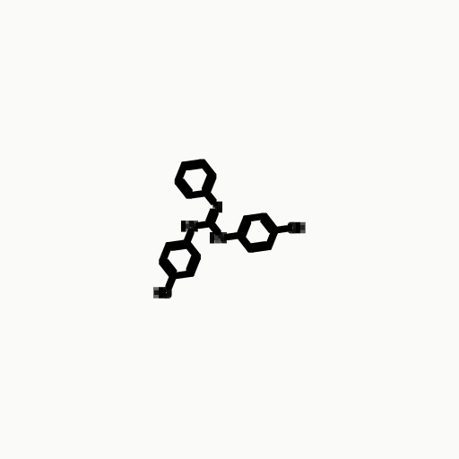 Oc1ccc(NC(=Nc2ccccc2)Nc2ccc(O)cc2)cc1